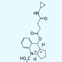 O=C(CCC(=O)OC1c2ccccc2N(C(=O)O)[C@@H]2CCC[C@H]12)NC1CC1